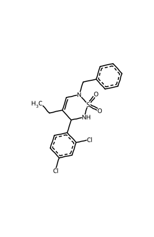 CCC1=CN(Cc2ccccc2)S(=O)(=O)NC1c1ccc(Cl)cc1Cl